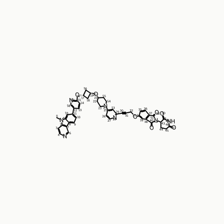 Cn1c2ccncc2c2ccc(-c3ccc(O[C@H]4C[C@H](OC5CCN(c6ccnc(C#CCOc7ccc8c(c7)C(=O)N(C7CCC(=O)NC7=O)C8=O)c6)CC5)C4)nc3)cc21